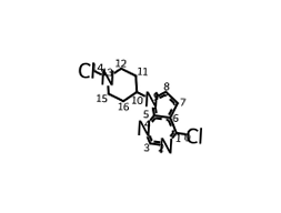 Clc1ncnc2c1ccn2C1CCN(Cl)CC1